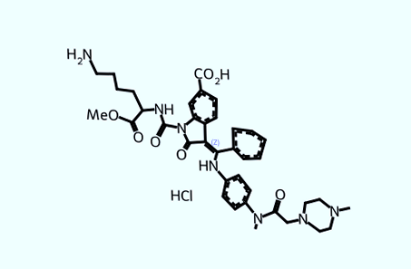 COC(=O)C(CCCCN)NC(=O)N1C(=O)/C(=C(\Nc2ccc(N(C)C(=O)CN3CCN(C)CC3)cc2)c2ccccc2)c2ccc(C(=O)O)cc21.Cl